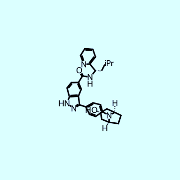 CC(C)C[C@H](NC(=O)c1ccc2[nH]nc(-c3ccc(N4[C@@H]5CC[C@H]4C[C@H](O)C5)cc3)c2c1)c1ccccn1